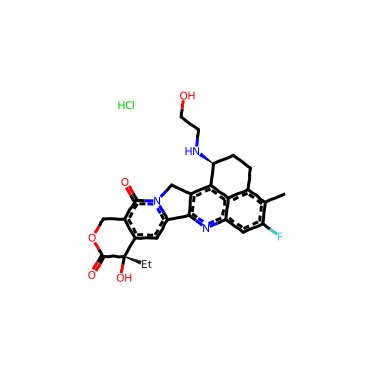 CC[C@@]1(O)C(=O)OCc2c1cc1n(c2=O)Cc2c-1nc1cc(F)c(C)c3c1c2[C@@H](NCCO)CC3.Cl